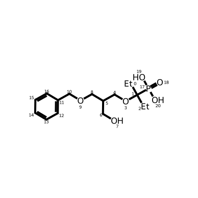 CCC(CC)(OCC(CO)COCc1ccccc1)P(=O)(O)O